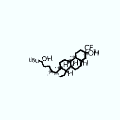 C[C@H](CCC(O)C(C)(C)C)[C@H]1CC[C@H]2[C@@H]3CC[C@H]4C[C@](O)(C(F)(F)F)CC[C@]4(C)[C@H]3CC[C@]12C